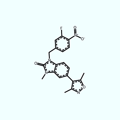 Cc1noc(C)c1-c1ccc2c(c1)n(C)c(=O)n2Cc1ccc([N+](=O)[O-])c(F)c1